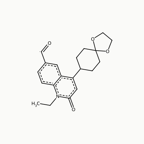 CCn1c(=O)cc(C2CCC3(CC2)OCCO3)c2cc([C]=O)ccc21